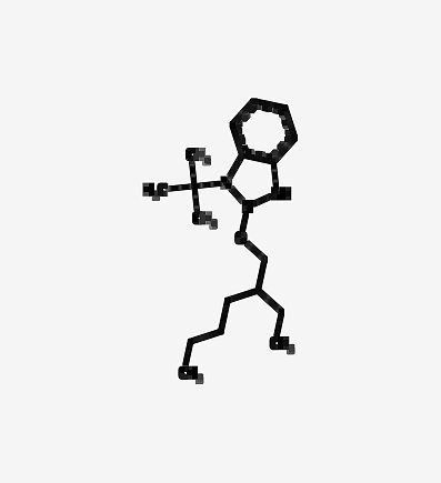 CCCCC(CC)CON1Nc2ccccc2N1C(C)(C)C